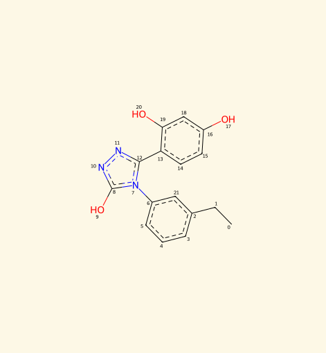 CCc1cccc(-n2c(O)nnc2-c2ccc(O)cc2O)c1